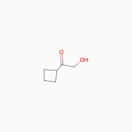 O=C(CO)C1CCC1